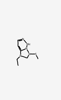 CCN1CN(SC)N2NN=CC=C12